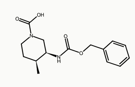 C[C@H]1CCN(C(=O)O)C[C@H]1NC(=O)OCc1ccccc1